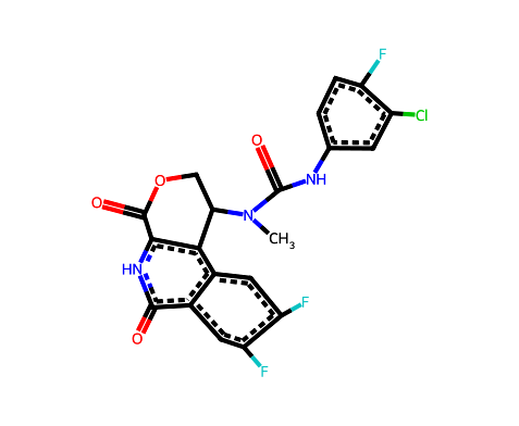 CN(C(=O)Nc1ccc(F)c(Cl)c1)C1COC(=O)c2[nH]c(=O)c3cc(F)c(F)cc3c21